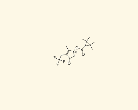 CC1=C(CC(F)(F)F)C(=O)C[C@H]1OC(=O)C1C(C)(C)C1(C)C